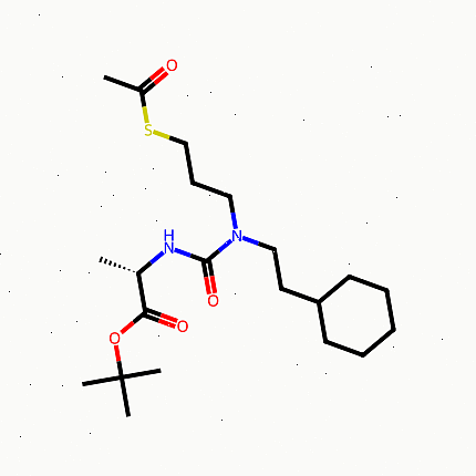 CC(=O)SCCCN(CCC1CCCCC1)C(=O)N[C@@H](C)C(=O)OC(C)(C)C